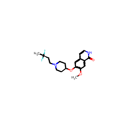 COc1cc2c(=O)[nH]ccc2cc1OC1CCN(CCC(C)(F)F)CC1